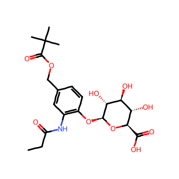 CCC(=O)Nc1cc(COC(=O)C(C)(C)C)ccc1O[C@@H]1O[C@H](C(=O)O)[C@@H](O)[C@H](O)[C@H]1O